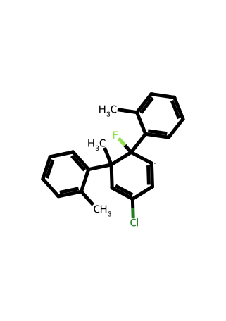 Cc1ccccc1C1(F)[C]=CC(Cl)=CC1(C)c1ccccc1C